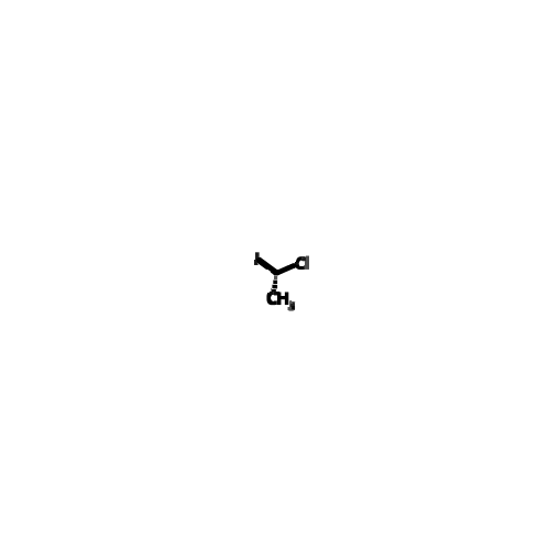 C[C@@H](Cl)I